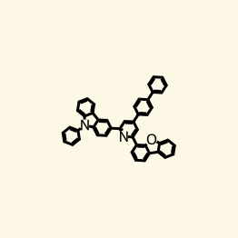 c1ccc(-c2ccc(-c3cc(-c4ccc5c(c4)c4ccccc4n5-c4ccccc4)nc(-c4cccc5c4oc4ccccc45)c3)cc2)cc1